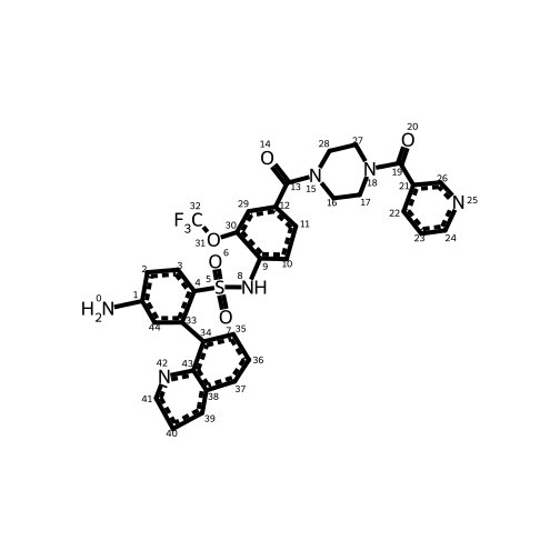 Nc1ccc(S(=O)(=O)Nc2ccc(C(=O)N3CCN(C(=O)c4cccnc4)CC3)cc2OC(F)(F)F)c(-c2cccc3cccnc23)c1